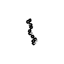 c1ccc2c(-c3ccc4ccc(-c5ccc6ccc(-c7ccc(-c8ccnc9c8ccc8cccnc89)cc7)nc6c5)cc4n3)cccc2c1